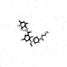 CCN(C1=C(C)C(C(=O)NCc2c(C)cc(C)[nH]c2=O)=CC(F)C1)[C@H]1CC[C@H](N(C)CCOC)CC1